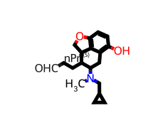 CCC[C@@]12COc3ccc(O)c(c31)CC(N(C)CC1CC1)C2CCC=O